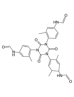 CC1=CC(NC=O)C(C)C=C1n1c(=O)n(-c2ccc(NC=O)cc2C)c(=O)n(-c2ccc(NC=O)cc2C)c1=O